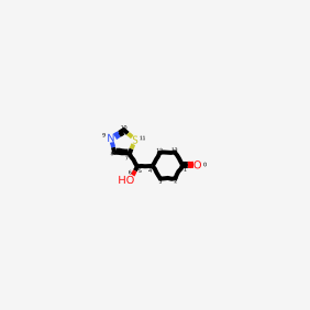 O=C1CCC(C(O)c2cncs2)CC1